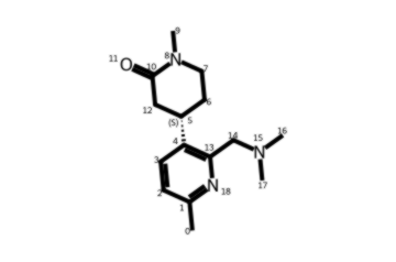 Cc1ccc([C@H]2CCN(C)C(=O)C2)c(CN(C)C)n1